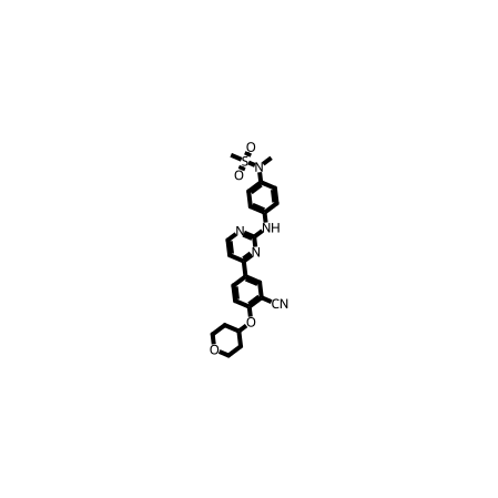 CN(c1ccc(Nc2nccc(-c3ccc(OC4CCOCC4)c(C#N)c3)n2)cc1)S(C)(=O)=O